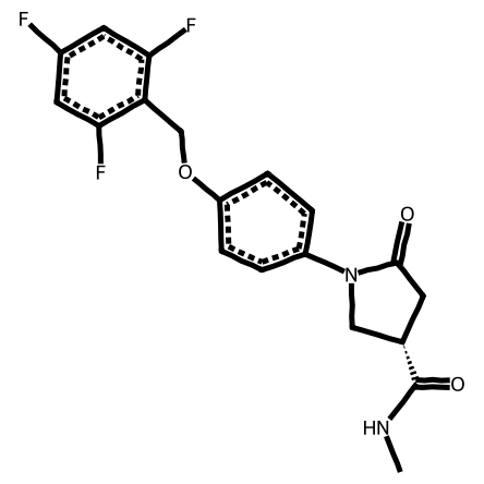 CNC(=O)[C@H]1CC(=O)N(c2ccc(OCc3c(F)cc(F)cc3F)cc2)C1